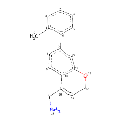 Cc1ccccc1-c1ccc2c(c1)OCC=C2CN